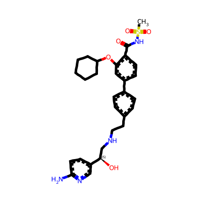 CS(=O)(=O)NC(=O)c1ccc(-c2ccc(CCNC[C@@H](O)c3ccc(N)nc3)cc2)cc1OC1CCCCC1